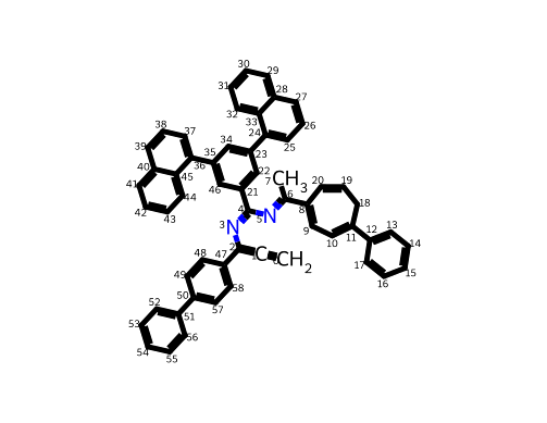 C=C=C(/N=C(\N=C(/C)C1=CC=C(c2ccccc2)CC=C1)c1cc(-c2cccc3ccccc23)cc(-c2cccc3ccccc23)c1)c1ccc(-c2ccccc2)cc1